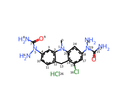 CN1c2cc(N(N)C(N)=O)ccc2Cc2c(Cl)cc(N(N)C(N)=O)cc21.Cl